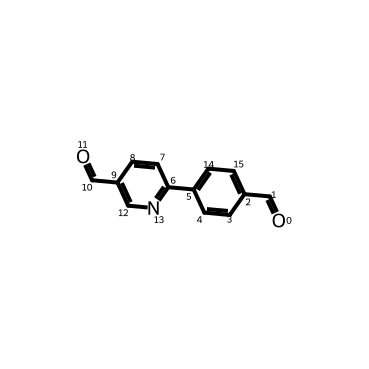 O=Cc1ccc(-c2ccc(C=O)cn2)cc1